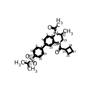 CC(=O)N1c2ccc(-c3ccc(S(=O)(=O)C(C)C)cc3)cc2N(C(=O)C2CCC2)CC1C